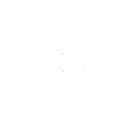 O=C(CCCl)N(c1ccc(Cl)cc1)C1CCCC1N1CCCCC1